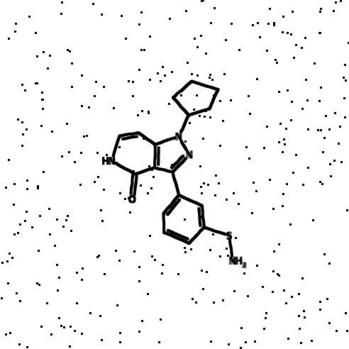 NSc1cccc(-c2nn(C3CCCC3)c3cc[nH]c(=O)c23)c1